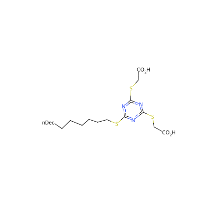 CCCCCCCCCCCCCCCCSc1nc(SCC(=O)O)nc(SCC(=O)O)n1